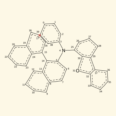 c1ccc(N(c2ccc3ccccc3c2-c2cccc3ccccc23)c2cccc3c2oc2ccccc23)cc1